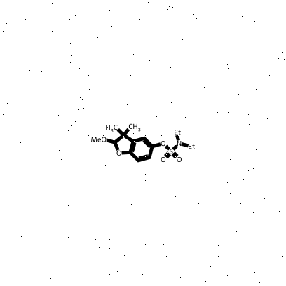 CCN(CC)S(=O)(=O)Oc1ccc2c(c1)C(C)(C)C(OC)O2